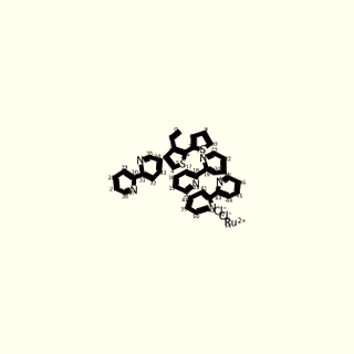 C=Cc1ccsc1-c1cccs1.[Cl-].[Cl-].[Ru+2].c1ccc(-c2ccccn2)nc1.c1ccc(-c2ccccn2)nc1.c1ccc(-c2ccccn2)nc1